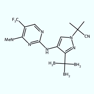 BC(B)(B)c1nn(C(C)(C)C#N)cc1Nc1ncc(C(F)(F)F)c(NC)n1